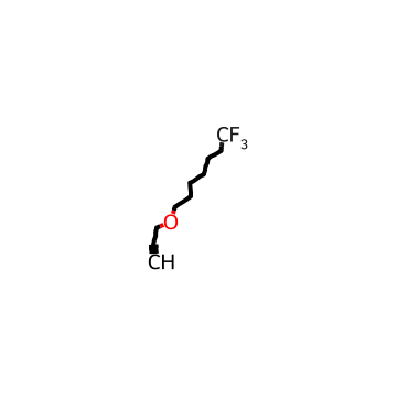 C#CCOCCCCCCC(F)(F)F